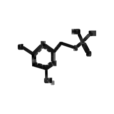 Cc1cc(Cl)nc(CSP(=O)(O)S)n1